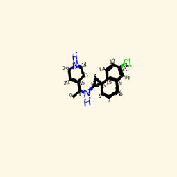 CC(NC1CC12CCCc1cc(Cl)ccc12)C1CCNCC1